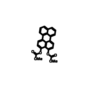 COC(=O)Oc1ccc2c3cccc4cccc(c5ccc(OC(=O)OC)c1c25)c43